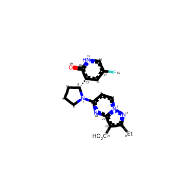 CCc1nn2ccc(N3CCC[C@@H]3c3cc(F)c[nH]c3=O)nc2c1C(=O)O